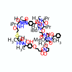 CC[C@H](C)[C@@H](CCC(=O)N1CCC[C@H]1[C@H](OC)[C@@H](C)C(=O)N[C@H](C)[C@@H](O)c1ccccc1)N(C)C(=O)C(NC(=O)[C@H](C(C)C)N(C)C(=O)OCc1ccc(NC(=O)[C@H](C)NC(=O)[C@@H](NC(=O)CCSSC(C)(C)CC(=O)N/N=C(\C)c2ccc(OCCCC(=O)ON3C(=O)CCC3=O)cc2O)C(C)C)cc1)C(C)C